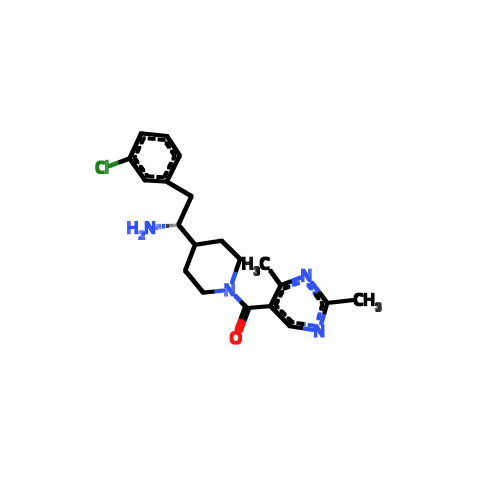 Cc1ncc(C(=O)N2CCC([C@H](N)Cc3cccc(Cl)c3)CC2)c(C)n1